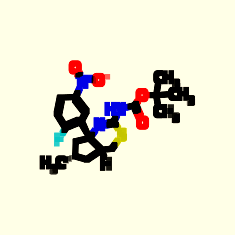 C[C@H]1C[C@H]2CSC(NC(=O)OC(C)(C)C)=N[C@@]2(c2cc([N+](=O)[O-])ccc2F)C1